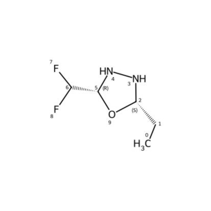 CC[C@H]1NN[C@@H](C(F)F)O1